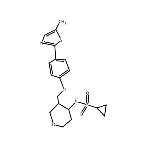 Cc1cnc(-c2ccc(OCC3COCCC3NS(=O)(=O)C3CC3)cc2)s1